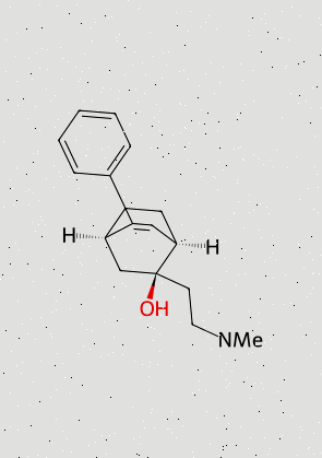 CNCC[C@]1(O)C[C@H]2CC[C@@H]1C=C2c1ccccc1